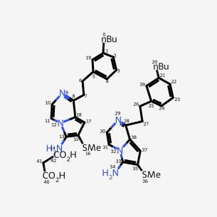 CCCCc1cccc(CCc2nccn3c(N)c(SC)cc23)c1.CCCCc1cccc(CCc2nccn3c(N)c(SC)cc23)c1.O=C(O)CC(=O)O